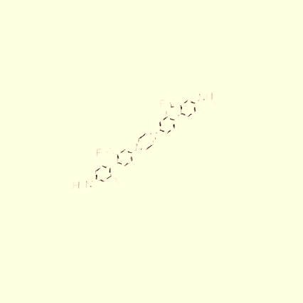 Nc1ccc(-c2ccc(N3C=CN(c4ccc(-c5ccc(N)cc5C(F)(F)F)c(C(F)(F)F)c4)C=C3)cc2C(F)(F)F)c(C(F)(F)F)c1